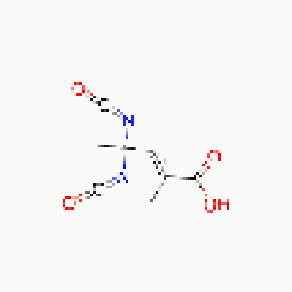 C/C(=C\C(C)(N=C=O)N=C=O)C(=O)O